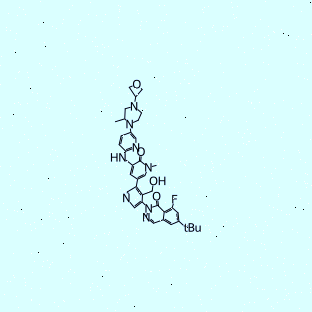 CC1CN(C2COC2)CCN1c1ccc(Nc2cc(-c3cncc(-n4ncc5cc(C(C)(C)C)cc(F)c5c4=O)c3CO)cn(C)c2=O)nc1